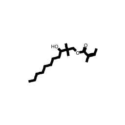 CC=C(C)C(=O)OCC(C)(C)C(O)CCCCCCCC